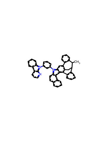 CC1c2ccccc2-c2cc3c(c4c2CC1c1ccccc1-4)c1c2ccccc2ccc1n3-c1cccc(-n2c3ccccc3c3cccnc32)c1